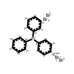 [Br-].[Br-].[Br-].[Br-].[C+4].c1ccc(P(c2ccccc2)c2ccccc2)cc1